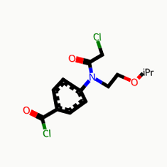 CC(C)OCCN(C(=O)CCl)c1ccc(C(=O)Cl)cc1